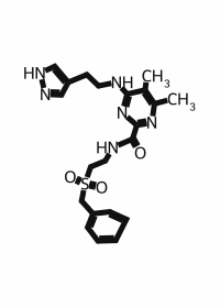 Cc1nc(C(=O)NCCS(=O)(=O)Cc2ccccc2)nc(NCCc2cn[nH]c2)c1C